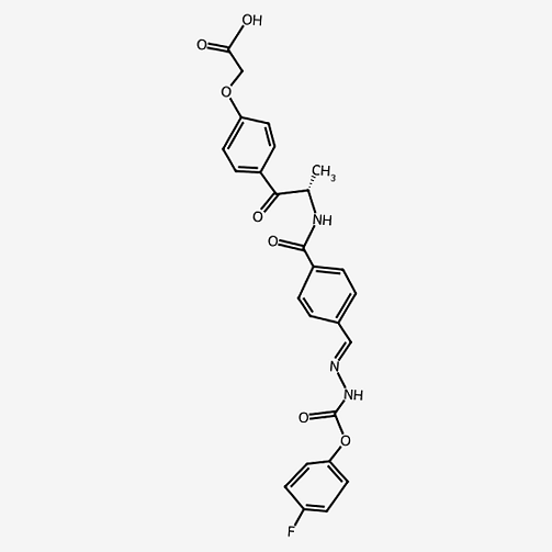 C[C@H](NC(=O)c1ccc(C=NNC(=O)Oc2ccc(F)cc2)cc1)C(=O)c1ccc(OCC(=O)O)cc1